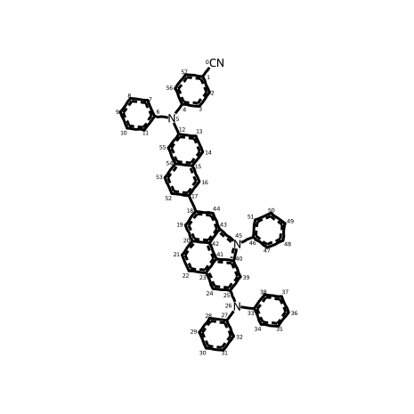 N#Cc1ccc(N(c2ccccc2)c2ccc3cc(-c4cc5ccc6cc(N(c7ccccc7)c7ccccc7)cc7c6c5c(c4)n7-c4ccccc4)ccc3c2)cc1